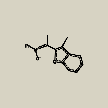 CC(c1oc2ccccc2c1C)=[N+]([O-])C(C)C